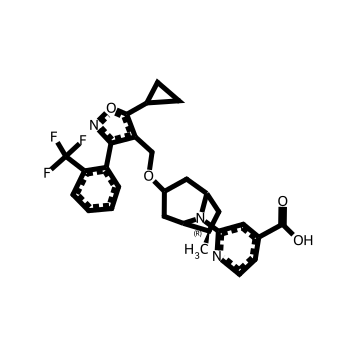 C[C@@H]1CC2CC(OCc3c(-c4ccccc4C(F)(F)F)noc3C3CC3)CC1N2c1cc(C(=O)O)ccn1